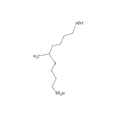 CCCCCCCCCCCCC(C)SCCCS(=O)(=O)O